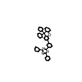 c1ccc(-c2nc(-c3ccccc3)nc(-c3cccc(-c4ccc5c(c4)Oc4ccccc4C5(c4ccccc4)c4ccccc4)c3)n2)cc1